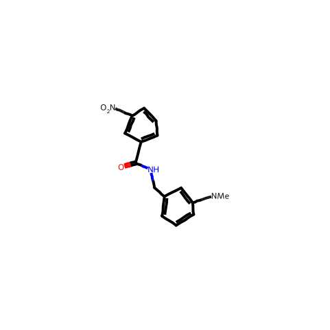 CNc1cccc(CNC(=O)c2cccc([N+](=O)[O-])c2)c1